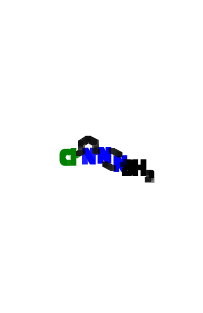 BN1CCN(c2cccc(Cl)n2)CC1